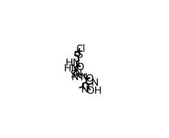 Cc1cc(C(=O)N(C)Cc2nsc(NC(=O)NCc3ccc(Cl)s3)n2)c(C#N)c(O)n1